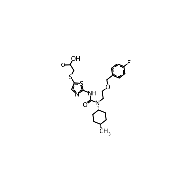 C[C@H]1CC[C@H](N(CCOCc2ccc(F)cc2)C(=O)Nc2ncc(SCC(=O)O)s2)CC1